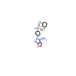 NC1=c2ccoc2=NCN1c1ccc(NS(=O)(=O)c2c(Cl)cccc2Cl)cc1